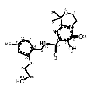 CC1(C)OCCn2c1nc(C(=O)NCc1ccc(F)cc1SCCO)c(O)c2=O